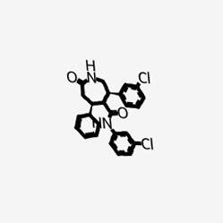 O=C1C[C@H](C2C=CC=CC2)C(C(=O)Nc2cccc(Cl)c2)[C@H](c2cccc(Cl)c2)CN1